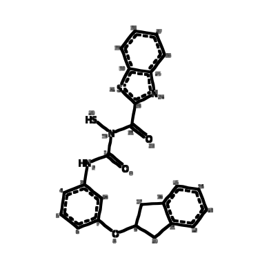 O=C(Nc1cccc(OC2Cc3ccccc3C2)c1)N(S)C(=O)c1nc2ccccc2s1